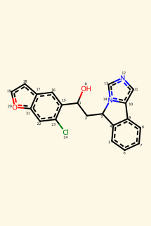 OC(CC1c2ccccc2-c2cncn21)c1cc2ccoc2cc1Cl